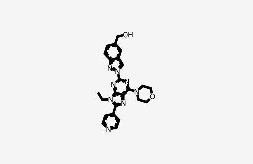 CCn1c(-c2ccncc2)nc2c(N3CCOCC3)nc(-n3cc4cc(CO)ccc4n3)nc21